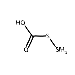 O=C(O)S[SiH3]